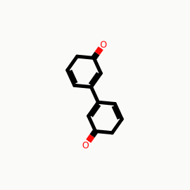 O=C1C=C(C2=CC(=O)CC=C2)C=CC1